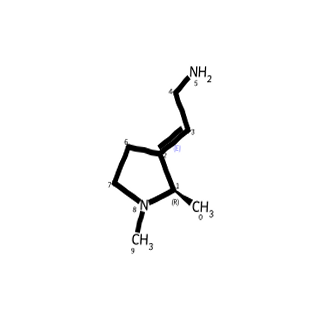 C[C@@H]1/C(=C/CN)CCN1C